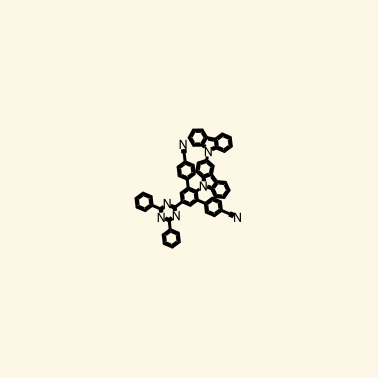 N#Cc1ccc(-c2cc(-c3nc(-c4ccccc4)nc(-c4ccccc4)n3)cc(-c3ccc(C#N)cc3)c2-n2c3ccccc3c3cc(-n4c5ccccc5c5ccccc54)ccc32)cc1